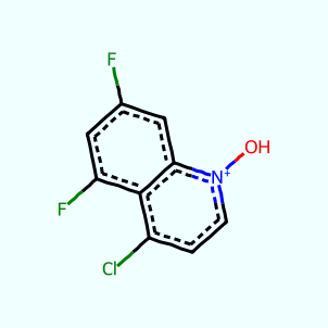 O[n+]1ccc(Cl)c2c(F)cc(F)cc21